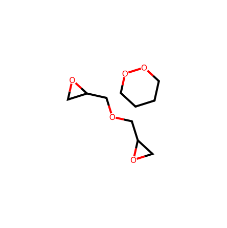 C(OCC1CO1)C1CO1.C1CCOOC1